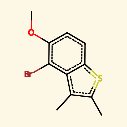 COc1ccc2sc(C)c(C)c2c1Br